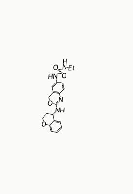 CCNS(=O)(=O)Nc1ccc2c(c1)COC(NC1CCOc3ccccc31)=N2